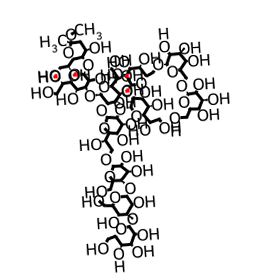 CO[C@]1(C)C[C@@H](O)[C@@H](O[C@H]2OC([C@@H](O)CO)[C@@H](O)[C@H](O[C@H]3OC([C@@H](O)CO)[C@@H](O)[C@H](O)C3O[C@H]3OC([C@H](O)CO[C@@H]4OC(CO)[C@H](O[C@H]5OC(CO)[C@@H](O)[C@H](O[C@H]6OC(CO)[C@@H](O)[C@H](O)C6O)C5O)[C@H](O)C4O)[C@@H](O)[C@H](O)C3O[C@H]3OC([C@H](O)CO)[C@@H](O)[C@H](O)C3O[C@H]3OC(CO[C@H]4OC(CO[C@H]5OC(CO)[C@@H](O)[C@H](O)C5O)[C@@H](O)[C@H](O)C4O)[C@@H](O)[C@H](O)C3O)C2O)C([C@H](O)CO)O1